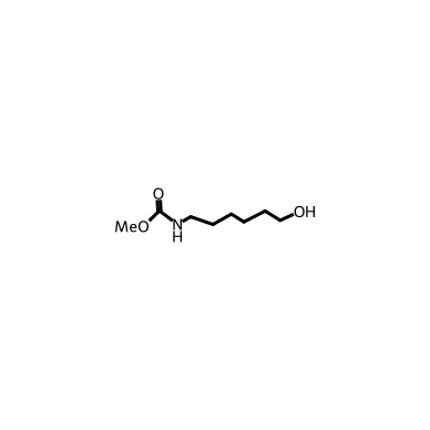 COC(=O)NCCCCCCO